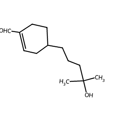 CC(C)(O)CCCC1CC=C(C=O)CC1